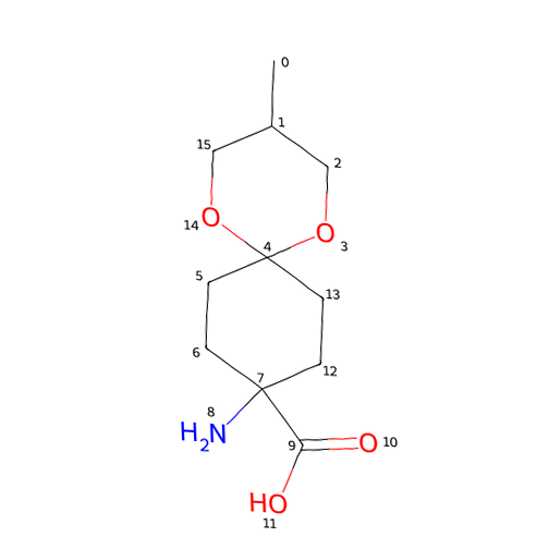 CC1COC2(CCC(N)(C(=O)O)CC2)OC1